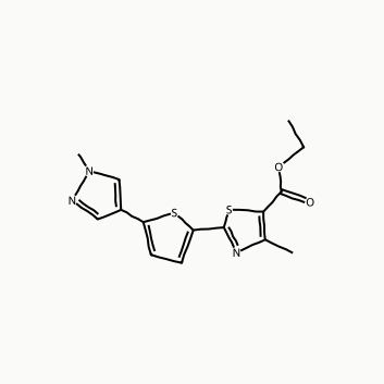 CCOC(=O)c1sc(-c2ccc(-c3cnn(C)c3)s2)nc1C